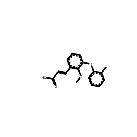 COc1c(/C=C/C(=O)O)cccc1Oc1ccccc1C